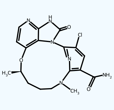 C[C@@H]1CCCN(C)c2nc(c(Cl)cc2C(N)=O)-n2c(=O)[nH]c3nccc(c32)O1